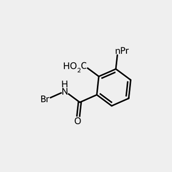 CCCc1cccc(C(=O)NBr)c1C(=O)O